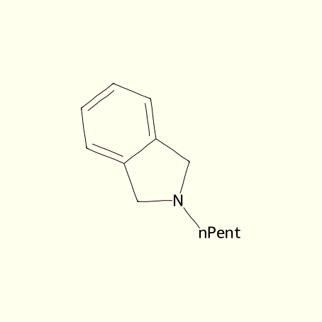 CCCCCN1Cc2ccccc2C1